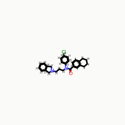 O=C(c1ccc2c(c1)CCCC2)N(CCCN1Cc2ccccc2C1)c1ccc(Cl)cc1